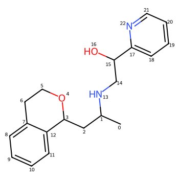 CC(CC1OCCc2ccccc21)NCC(O)c1ccccn1